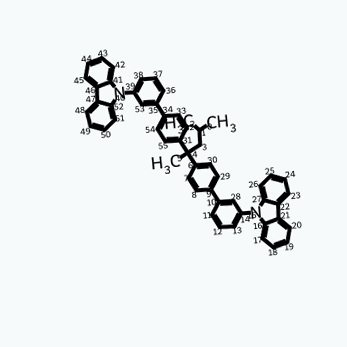 CC(C)CC(C)(c1ccc(-c2cccc(-n3c4ccccc4c4ccccc43)c2)cc1)c1ccc(-c2cccc(-n3c4ccccc4c4ccccc43)c2)cc1